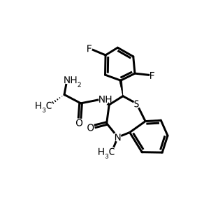 C[C@H](N)C(=O)N[C@@H]1C(=O)N(C)c2ccccc2S[C@@H]1c1cc(F)ccc1F